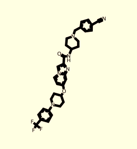 N#Cc1ccc(CN2CCC(NC(=O)c3cn4ccc(OC5CCN(c6ccc(C(F)(F)F)cc6)CC5)cc4n3)CC2)cc1